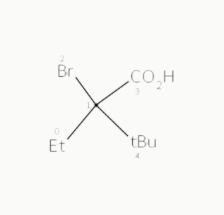 CCC(Br)(C(=O)O)C(C)(C)C